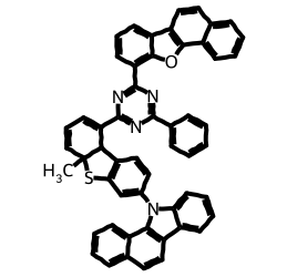 CC12C=CC=C(c3nc(-c4ccccc4)nc(-c4cccc5c4oc4c6ccccc6ccc54)n3)C1c1ccc(-n3c4ccccc4c4ccc5ccccc5c43)cc1S2